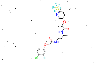 C=C(CCNC(=O)COc1ccc(Cl)c(F)c1)NC(=O)COc1ccc(S(F)(F)(F)(F)F)nc1